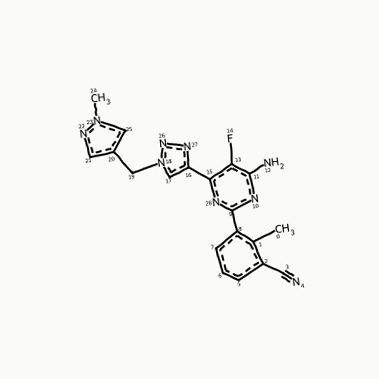 Cc1c(C#N)cccc1-c1nc(N)c(F)c(-c2cn(Cc3cnn(C)c3)nn2)n1